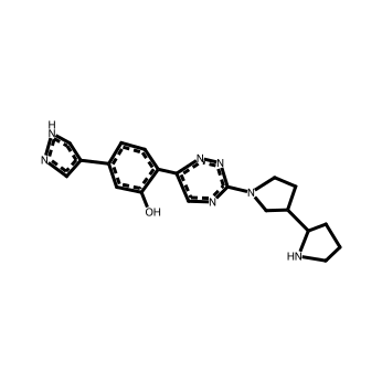 Oc1cc(-c2cn[nH]c2)ccc1-c1cnc(N2CCC(C3CCCN3)C2)nn1